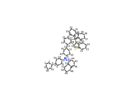 c1ccc(-c2ccc(N(c3ccc(-c4cccc5c4-c4sc6ccccc6c4C5(c4ccccc4)c4ccccc4)cc3)c3cccc4ccccc34)cc2)cc1